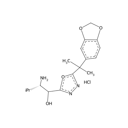 CC(C)[C@H](N)C(O)c1nnc(C(C)(C)c2ccc3c(c2)OCO3)o1.Cl